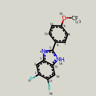 Fc1cc2nc(-c3ccc(OC(F)(F)F)cc3)[nH]c2cc1F